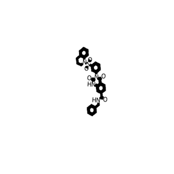 O=C(NCc1ccccc1)c1ccc2c(=O)n(-c3cccc(S(=O)(=O)N4CCCc5ccccc54)c3)c(=O)[nH]c2c1